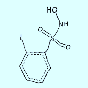 O=S(=O)(NO)c1ccccc1I